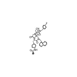 N#CCN(C(=O)NCc1ccc(F)cc1)N1CC(=O)N2[C@@H](Cc3ccc(N[SH](=O)=O)cc3)C(=O)N(Cc3cccc4ccccc34)C[C@@H]21